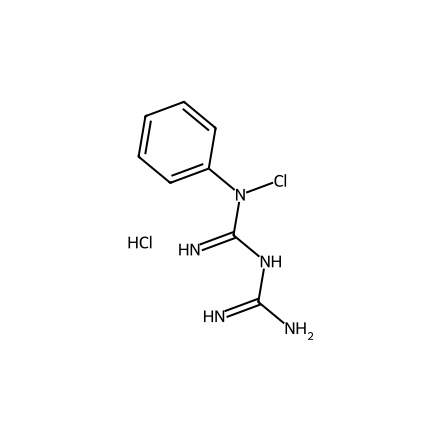 Cl.N=C(N)NC(=N)N(Cl)c1ccccc1